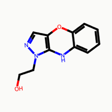 OCCn1ncc2c1Nc1ccccc1O2